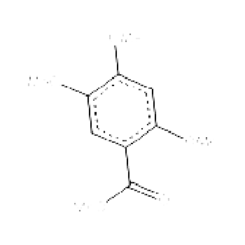 COC(=O)c1cc(OC)c(OC)cc1OC